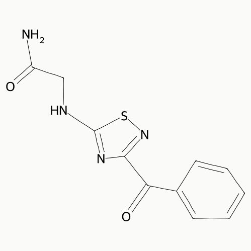 NC(=O)CNc1nc(C(=O)c2ccccc2)ns1